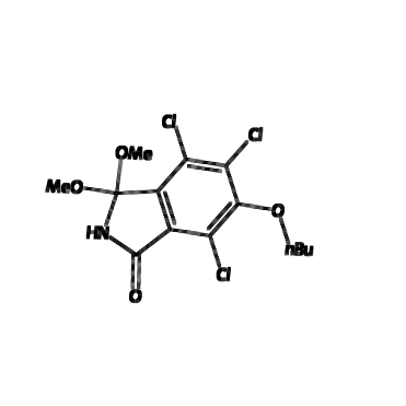 CCCCOc1c(Cl)c(Cl)c2c(c1Cl)C(=O)NC2(OC)OC